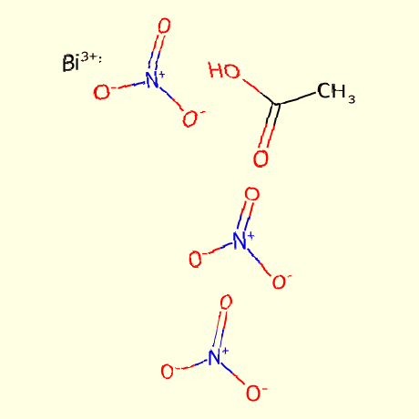 CC(=O)O.O=[N+]([O-])[O-].O=[N+]([O-])[O-].O=[N+]([O-])[O-].[Bi+3]